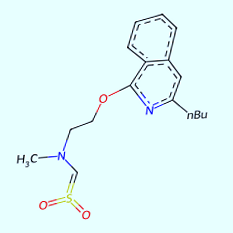 CCCCc1cc2ccccc2c(OCCN(C)C=S(=O)=O)n1